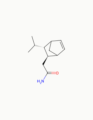 CC(C)[C@@H]1C2C=CC(C2)[C@H]1CC(N)=O